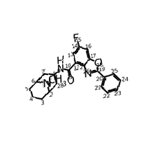 CN1C2CCCC1CC(NC(=O)c1cc(F)cc3oc(-c4ccccc4)nc13)C2